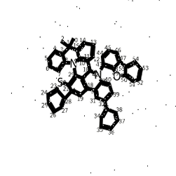 CC1(C)c2ccccc2N2c3c(cccc31)C1c3c(cc4c(sc5ccccc54)c32)-c2cc(-c3ccccc3)ccc2N1c1cccc2c1oc1ccccc12